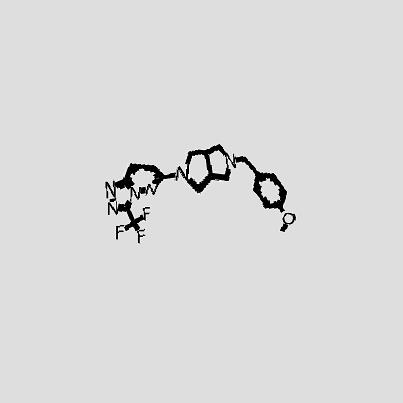 COc1ccc(CN2CC3CN(c4ccc5nnc(C(F)(F)F)n5n4)CC3C2)cc1